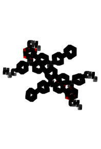 Cc1ccc(N(c2ccc(C)cc2)c2ccc(-c3cc(N(c4ccc(-c5ccccc5)cc4)c4ccc(-c5ccccc5)cc4)c(-c4ccc(N(c5ccc(C)cc5)c5ccc(C)cc5)cc4)cc3N(c3ccc(-c4ccccc4)cc3)c3ccc(-c4ccccc4)cc3)cc2)cc1